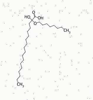 CCCCCCCCCCCCCCCCC(O)(OCCCCCCCC)C(=O)O